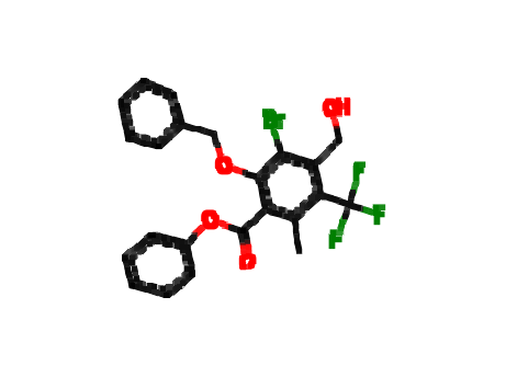 Cc1c(C(=O)Oc2ccccc2)c(OCc2ccccc2)c(Br)c(CO)c1C(F)(F)F